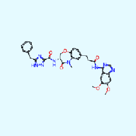 COc1cc2ncnc(NC(=O)CCc3ccc4c(c3)N(C)C(=O)[C@H](NC(=O)c3n[nH]c(Cc5ccccc5)n3)CO4)c2cc1OC